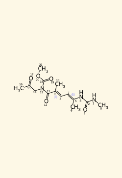 CNC(=O)N/C(C)=C/C=C(\C)C(=O)N(CC(C)=O)C(=O)OC